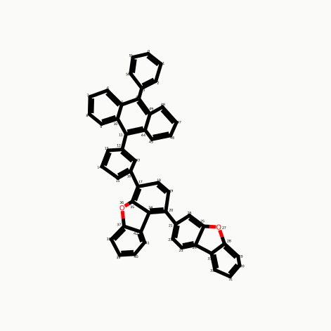 c1ccc(-c2c3ccccc3c(-c3cccc(-c4ccc(-c5ccc6c(c5)oc5ccccc56)c5c4oc4ccccc45)c3)c3ccccc23)cc1